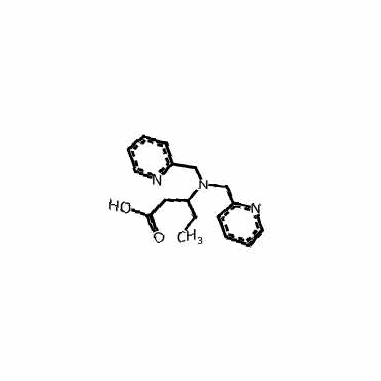 CCC(CC(=O)O)N(Cc1ccccn1)Cc1ccccn1